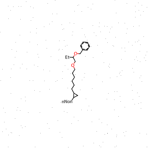 CCCCCCCCCC1CC1CCCCCCOCC(CC)OCc1ccccc1